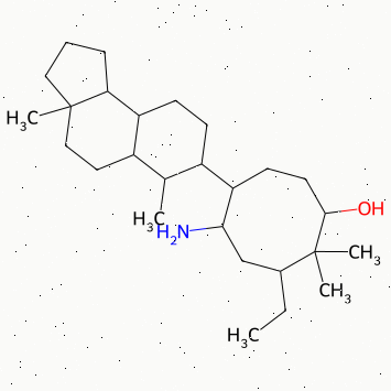 CCC1CC(N)C(C2CCC3C(CCC4(C)CCCC34)C2C)CCC(O)C1(C)C